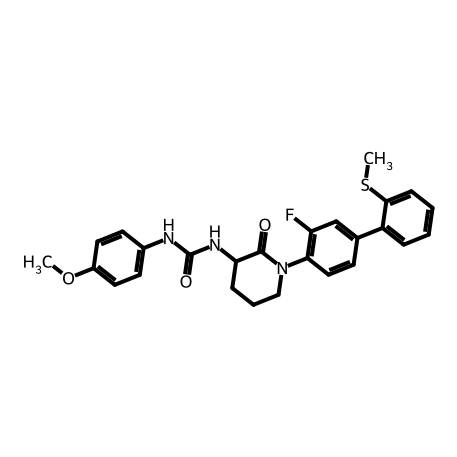 COc1ccc(NC(=O)NC2CCCN(c3ccc(-c4ccccc4SC)cc3F)C2=O)cc1